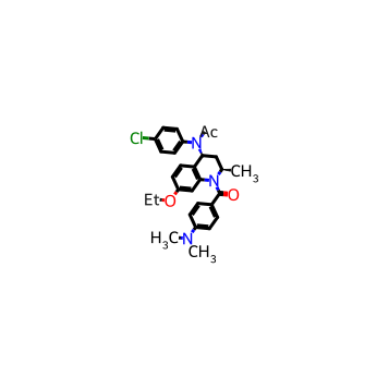 CCOc1ccc2c(c1)N(C(=O)c1ccc(N(C)C)cc1)[C@H](C)C[C@@H]2N(C(C)=O)c1ccc(Cl)cc1